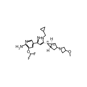 COC1CN(C2C[C@@H]3[C@H](C2)[C@H]3c2cc(-c3cnc(N)c(OC(F)F)c3)nn2CC2CC2)C1